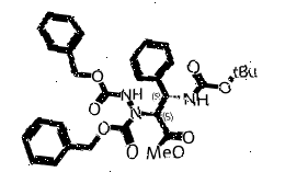 COC(=O)[C@H]([C@@H](NC(=O)OC(C)(C)C)c1ccccc1)N(NC(=O)OCc1ccccc1)C(=O)OCc1ccccc1